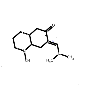 CN(C)/C=C1\CC2C(CCCN2C#N)CC1=O